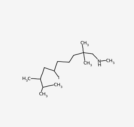 CNCC(C)(C)CCCC(I)CC(C)C(C)C